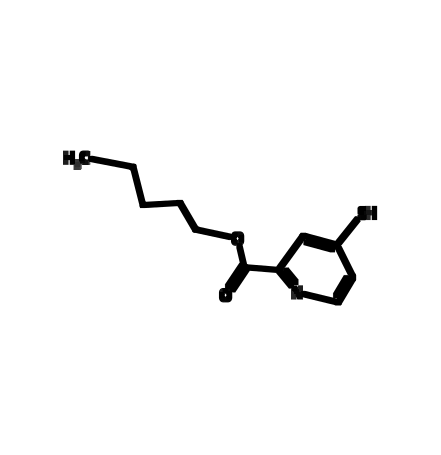 CCCCCOC(=O)c1cc(S)ccn1